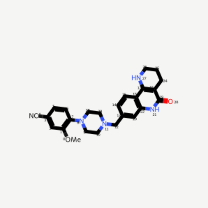 COc1cc(C#N)ccc1N1CCN(Cc2ccc3c4c(c(=O)[nH]c3c2)CCCN4)CC1